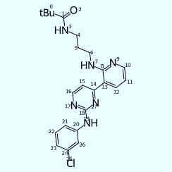 CC(C)(C)C(=O)NCCCNc1ncccc1-c1ccnc(Nc2cccc(Cl)c2)n1